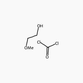 COCCO.O=C(Cl)Cl